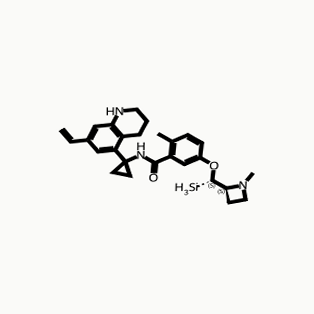 C=Cc1cc2c(c(C3(NC(=O)c4cc(O[C@@H]([SiH3])[C@@H]5CCN5C)ccc4C)CC3)c1)CCCN2